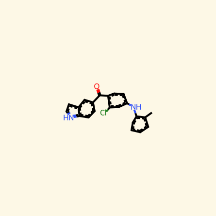 Cc1ccccc1Nc1ccc(C(=O)c2ccc3[nH]ccc3c2)c(Cl)c1